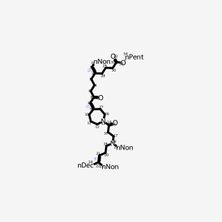 CCCCCCCCC/C=C(/CCCC(=O)/C=C1/CCCN(C(=O)CCN(CC/C=C(\CCCCCCCCC)CCCCCCCCCC)CCCCCCCCC)CC1)CCCC(=O)OCCCCC